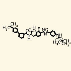 CC(C)c1ccc(-c2cccc(C(=O)N[C@H](Cc3ccc(-c4noc(-c5ccc(NC(=O)OC(C)(C)C)cc5)n4)c(F)c3)C(=O)O)c2)cc1